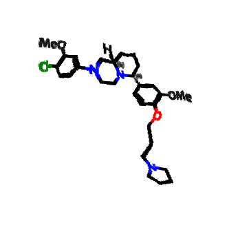 COc1cc(N2CCN3[C@@H](CCC[C@@H]3c3ccc(OCCCN4CCCC4)c(OC)c3)C2)ccc1Cl